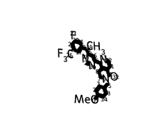 COc1ccc(CN2CCc3c(ccnc3-c3cc(C(C)c4cc(F)cc(C(F)(F)F)c4)ncn3)C2=O)cc1